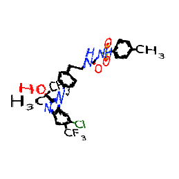 Cc1ccc(S(=O)(=O)NC(=O)NCCc2ccc(-n3c(C(C)(C)O)nc4cc(C(F)(F)F)c(Cl)cc43)cc2)cc1